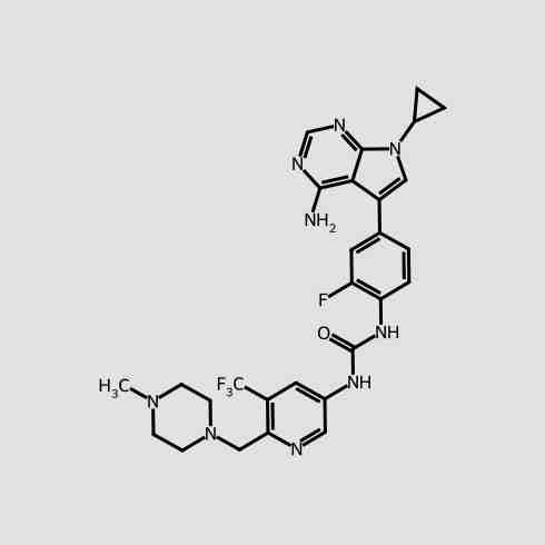 CN1CCN(Cc2ncc(NC(=O)Nc3ccc(-c4cn(C5CC5)c5ncnc(N)c45)cc3F)cc2C(F)(F)F)CC1